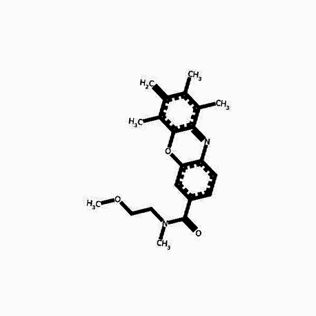 C=c1c(C)c(C)c2c(c1C)Oc1cc(C(=O)N(C)CCOC)ccc1N=2